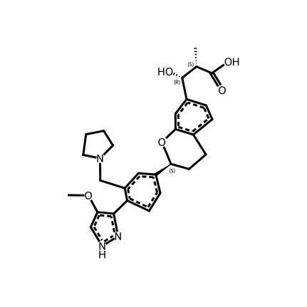 COc1c[nH]nc1-c1ccc([C@@H]2CCc3ccc([C@H](O)[C@H](C)C(=O)O)cc3O2)cc1CN1CCCC1